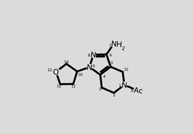 CC(=O)N1CCc2c(c(N)nn2C2CCOC2)C1